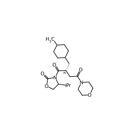 CC1CCC(C[C@H](CC(=O)N2CCOCC2)C(=O)N2C(=O)OCC2C(C)C)CC1